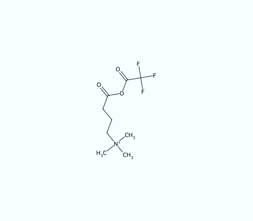 C[N+](C)(C)CCCC(=O)OC(=O)C(F)(F)F